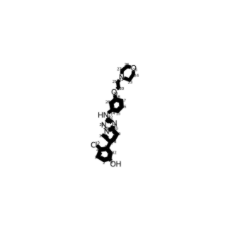 Oc1ccc(Cl)c(-c2ccc3nc(Nc4cccc(OCCN5CCOCC5)c4)nn3c2)c1